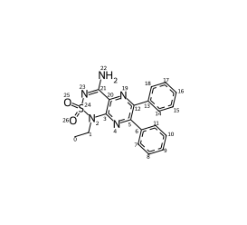 CCN1c2nc(-c3ccccc3)c(-c3ccccc3)nc2C(N)=NS1(=O)=O